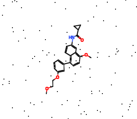 COCCOc1cccc(-c2ccc(OC)c3cc(NC(=O)C4CC4)ccc23)c1